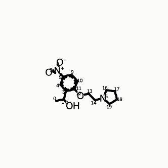 CC(O)c1cc([N+](=O)[O-])ccc1OCCN1CCCC1